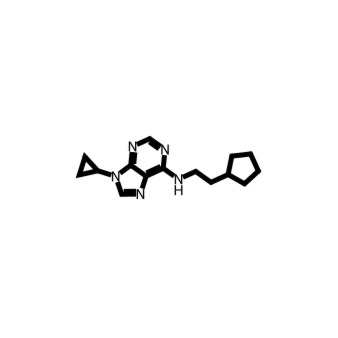 c1nc(NCCC2CCCC2)c2ncn(C3CC3)c2n1